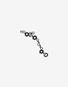 O=C1Oc2cc(O)ccc2CN1c1ccc(OCCOCCOc2cccc(N3CCCCC3)c2)cc1